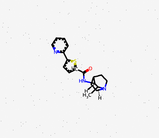 C[C@H]1[C@H](NC(=O)[13c]2ccc(-c3ccccn3)s2)C2CCN1CC2